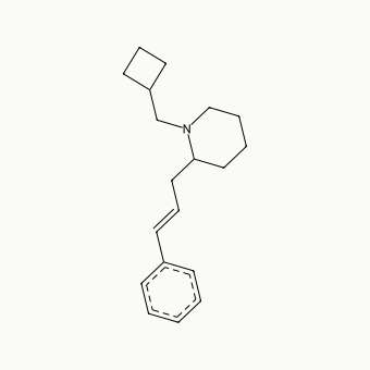 C(=Cc1ccccc1)CC1CCCCN1CC1CCC1